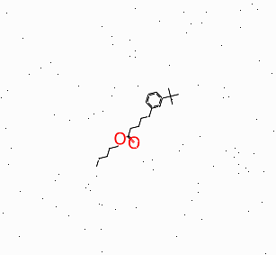 CCCCCOC(=O)CCCCc1cccc(C(C)(C)C)c1